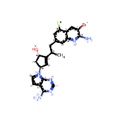 CC(Cc1cc(F)c2cc(Br)c(N)nc2c1)C1=C[C@@H](n2ccc3c(N)ncnc32)C[C@@H]1O